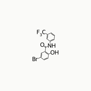 O=C(Nc1cccc(C(F)(F)F)c1)c1cc(Br)ccc1O